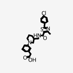 Cc1nc(-c2ccc(Cl)cc2)sc1C(=O)NCC1CCCN(c2cccc(CC(=O)O)c2)C1